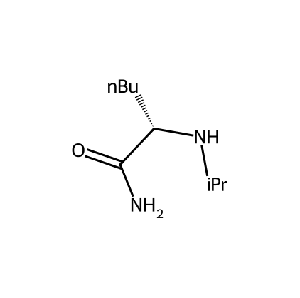 CCCC[C@H](NC(C)C)C(N)=O